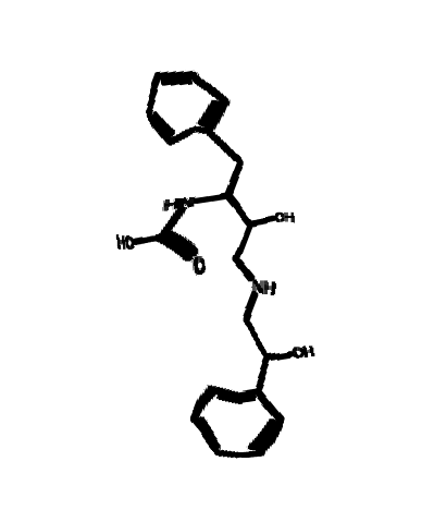 O=C(O)NC(Cc1ccccc1)C(O)CNCC(O)c1ccccc1